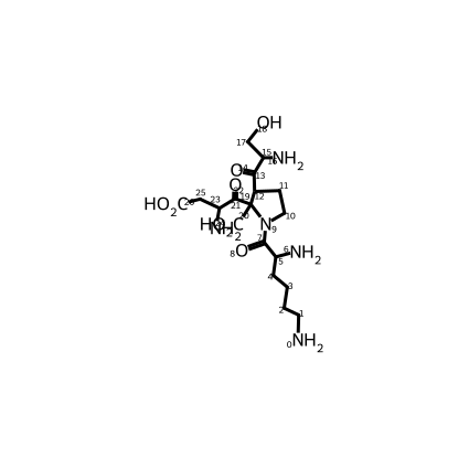 NCCCCC(N)C(=O)N1CCC(C(=O)C(N)CO)C1(C(=O)O)C(=O)C(N)CC(=O)O